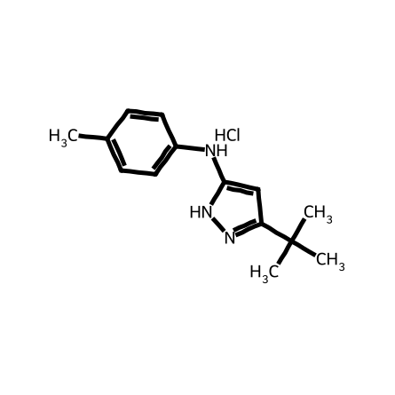 Cc1ccc(Nc2cc(C(C)(C)C)n[nH]2)cc1.Cl